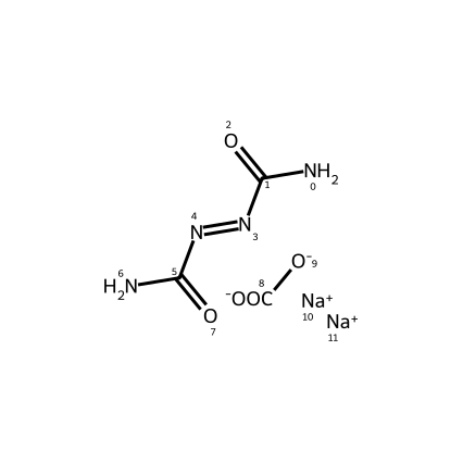 NC(=O)/N=N/C(N)=O.O=C([O-])[O-].[Na+].[Na+]